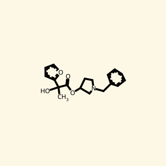 CC(O)(C(=O)OC1CCN(Cc2ccccc2)C1)c1ccco1